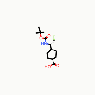 CC(C)(C)OC(=O)N[C@H](CF)[C@H]1CC[C@H](C(=O)O)CC1